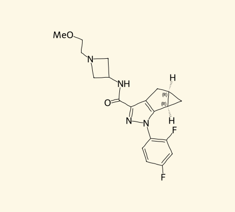 COCCN1CC(NC(=O)c2nn(-c3ccc(F)cc3F)c3c2C[C@H]2C[C@@H]32)C1